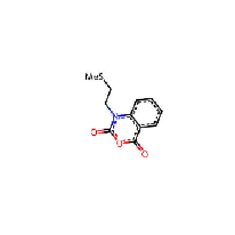 CSCCn1c(=O)oc(=O)c2ccccc21